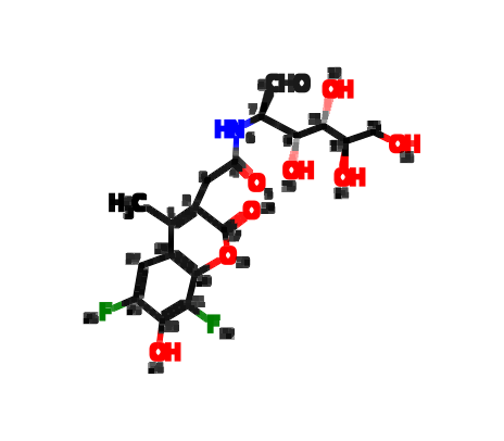 Cc1c(CC(=O)N[C@@H](C=O)[C@@H](O)[C@H](O)[C@H](O)CO)c(=O)oc2c(F)c(O)c(F)cc12